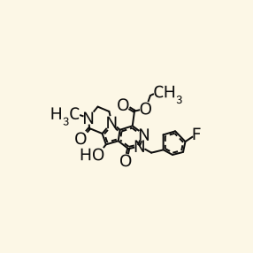 CCOC(=O)c1nn(Cc2ccc(F)cc2)c(=O)c2c(O)c3n(c12)CCN(C)C3=O